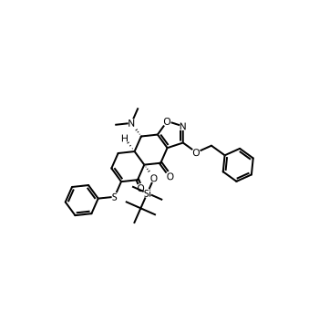 CN(C)[C@@H]1c2onc(OCc3ccccc3)c2C(=O)[C@@]2(O[Si](C)(C)C(C)(C)C)C(=O)C(Sc3ccccc3)=CC[C@@H]12